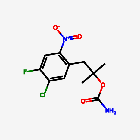 CC(C)(Cc1cc(Cl)c(F)cc1[N+](=O)[O-])OC(N)=O